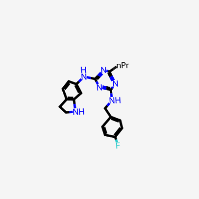 CCCc1nc(NCc2ccc(F)cc2)nc(Nc2ccc3c(c2)NCC3)n1